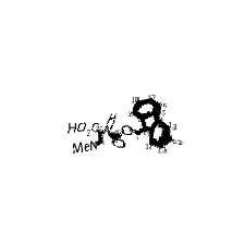 CNC[C@H](NC(=O)OCC1c2ccccc2-c2ccccc21)C(=O)O